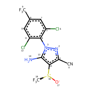 N#Cc1nn(-c2c(Cl)cc(C(F)(F)F)cc2Cl)c(N)c1[S@@+]([O-])C(F)(F)F